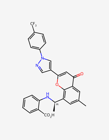 Cc1cc([C@@H](C)Nc2ccccc2C(=O)O)c2oc(-c3cnn(-c4ccc(C(F)(F)F)cc4)c3)cc(=O)c2c1